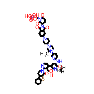 [2H]C([2H])([2H])Oc1ncc(-c2ccnc(N3CCc4c(sc5c4CCCC5)C3=O)c2CO)cc1Nc1ccc(N2CCN(C3CCN(c4ccc5c(c4)C(=O)N([C@H]4CCC(=O)N(COP(=O)(O)O)C4=O)C5=O)CC3)C[C@@H]2C)cn1